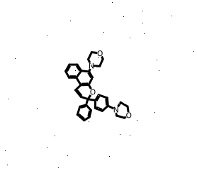 C1=CC(c2ccccc2)(c2ccc(N3CCOCC3)cc2)Oc2cc(N3CCOCC3)c3ccccc3c21